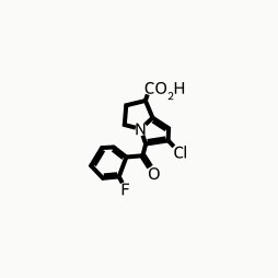 O=C(c1ccccc1F)c1c(Cl)cc2n1CCC2C(=O)O